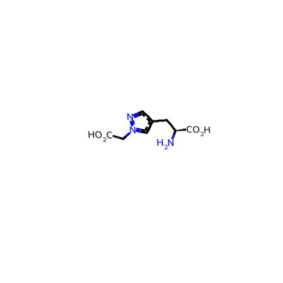 N[C@@H](Cc1cnn(CC(=O)O)c1)C(=O)O